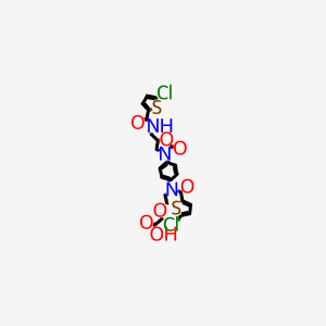 O=C(O)COCCN(C(=O)c1ccc(Cl)s1)c1ccc(N2CC(CNC(=O)c3ccc(Cl)s3)OC2=O)cc1